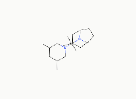 CC1CC(C)CN(C2CC3CCC(C2)N3C(C)(C)C)C1